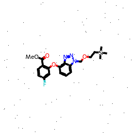 COC(=O)c1ccc(F)cc1Oc1cccc2c1nnn2COCC[Si](C)(C)C